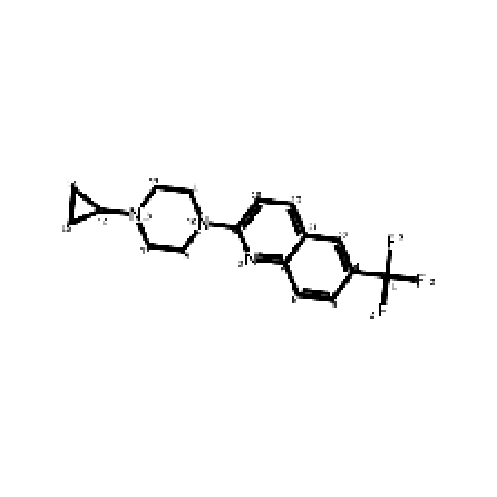 FC(F)(F)c1ccc2nc(N3CCN(C4CC4)CC3)ccc2c1